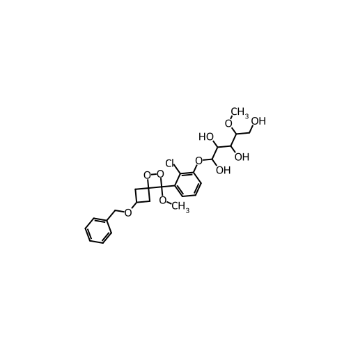 COC(CO)C(O)C(O)C(O)Oc1cccc(C2(OC)OOC23CC(OCc2ccccc2)C3)c1Cl